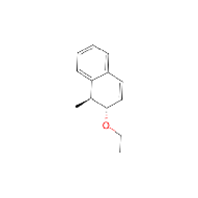 CCO[C@H]1C=Cc2ccccc2[C@@H]1C